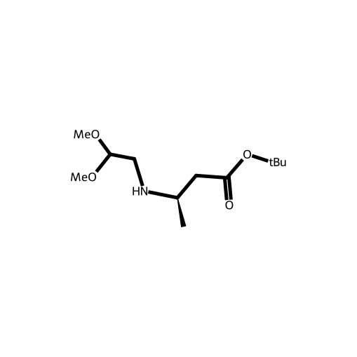 COC(CN[C@H](C)CC(=O)OC(C)(C)C)OC